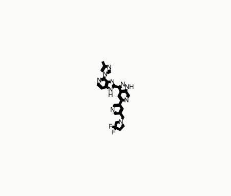 Cc1cn(-c2nccc3[nH]c(-c4n[nH]c5cnc(-c6cncc(CN7CCC(F)(F)C7)c6)cc45)nc23)cn1